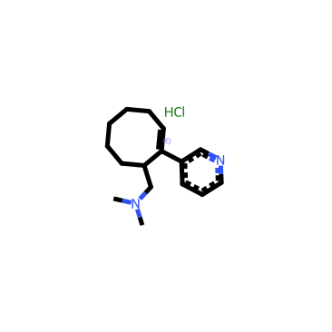 CN(C)CC1CCCCC/C=C\1c1cccnc1.Cl